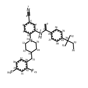 C=C(Nc1cc(C#N)ccc1N1CCC(Cc2ccc(F)cc2F)CC1)c1ccc(C(C)(C)CC)cc1